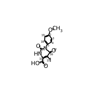 COc1ccc(-n2c(=O)[nH]c(C(=O)O)c(I)c2=O)cc1